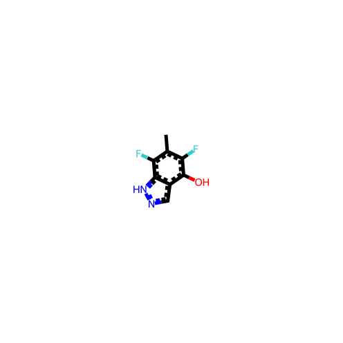 Cc1c(F)c(O)c2cn[nH]c2c1F